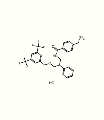 Cl.NCc1ccc(C(=O)NCC(COCc2cc(C(F)(F)F)cc(C(F)(F)F)c2)c2ccccc2)cc1